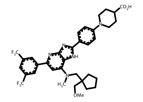 COCC1(CN(C)c2cc(-c3cc(C(F)(F)F)cc(C(F)(F)F)c3)nc3nc(-c4ccc(N5CCC(C(=O)O)CC5)cc4)[nH]c23)CCCC1